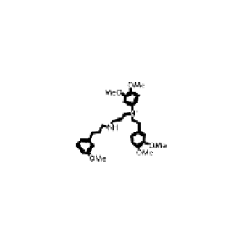 COc1cccc(CCCNCCC[N+](C)(CCc2ccc(OC)c(OC)c2)c2ccc(OC)c(OC)c2)c1